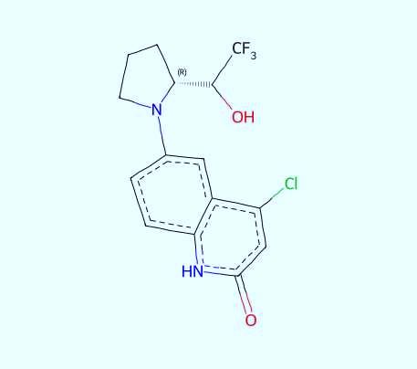 O=c1cc(Cl)c2cc(N3CCC[C@@H]3C(O)C(F)(F)F)ccc2[nH]1